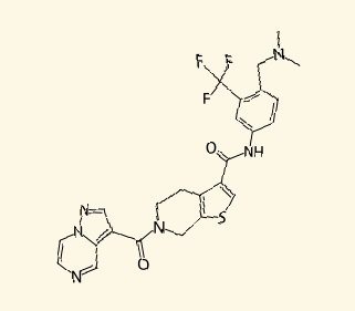 CN(C)Cc1ccc(NC(=O)c2csc3c2CCN(C(=O)c2cnn4ccncc24)C3)cc1C(F)(F)F